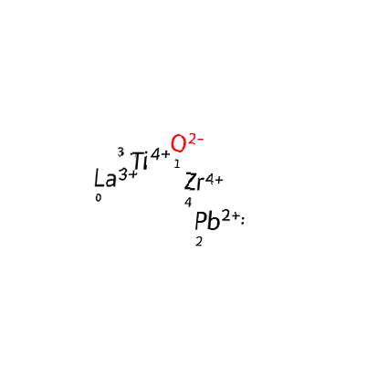 [La+3].[O-2].[Pb+2].[Ti+4].[Zr+4]